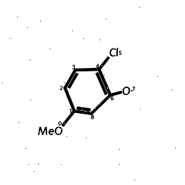 COc1ccc(Cl)c([O])c1